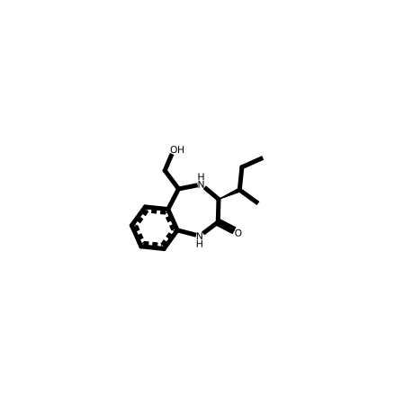 CCC(C)[C@@H]1NC(CO)c2ccccc2NC1=O